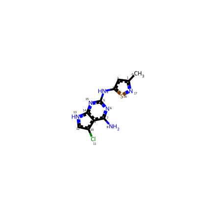 Cc1cc(Nc2nc(N)c3c(Cl)c[nH]c3n2)sn1